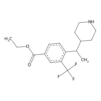 CCOC(=O)c1ccc(C(C)C2CCNCC2)c(C(F)(F)F)c1